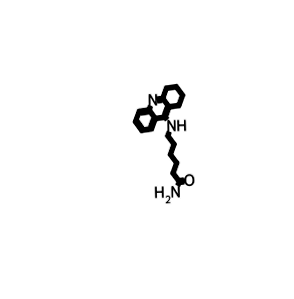 NC(=O)CCCCCNc1c2c(nc3ccccc13)CCCC2